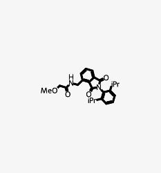 COCC(=O)NCc1cccc2c1C(=O)N(c1c(C(C)C)cccc1C(C)C)C2=O